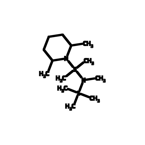 CC1CCCC(C)N1S(C)(C)N(C)S(C)(C)C